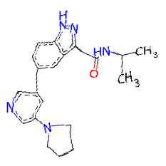 CC(C)NC(=O)c1n[nH]c2ccc(-c3cncc(N4CCCC4)c3)cc12